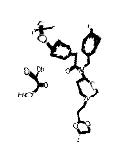 C[C@H]1COC(CCN2CCC(N(Cc3ccc(F)cc3)C(=O)Cc3ccc(OC(F)(F)F)cc3)CC2)O1.O=C(O)C(=O)O